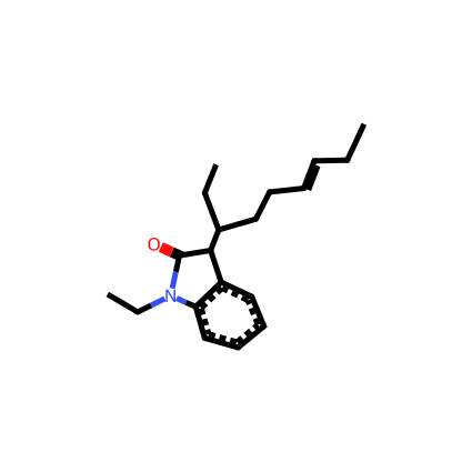 CCC=CCCC(CC)C1C(=O)N(CC)c2ccccc21